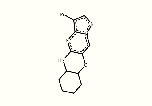 CC(C)c1cnn2cc3c(nc12)NC1CCCCC1O3